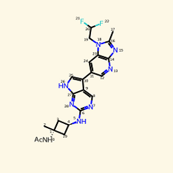 CC(=O)N[C@]1(C)C[C@@H](Nc2ncc3c(-c4cnc5nc(C)n(CC(F)F)c5c4)c[nH]c3n2)C1